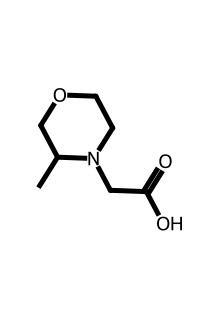 CC1COCCN1CC(=O)O